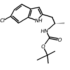 C[C@@H](Cc1cc2ccc(Cl)cc2[nH]1)NC(=O)OC(C)(C)C